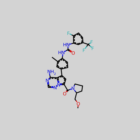 COCC1CCCN1C(=O)c1cc(-c2ccc(NC(=O)Nc3cc(C(F)(F)F)ccc3F)c(C)c2)c2c(N)ncnn12